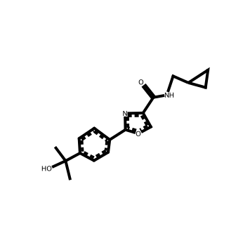 CC(C)(O)c1ccc(-c2nc(C(=O)NCC3CC3)co2)cc1